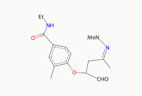 CCNC(=O)c1ccc(OC(C=O)C/C(C)=N\NC)c(C)c1